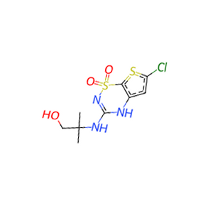 CC(C)(CO)NC1=NS(=O)(=O)c2sc(Cl)cc2N1